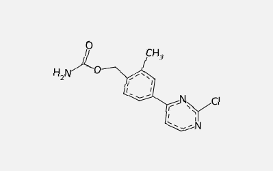 Cc1cc(-c2ccnc(Cl)n2)ccc1COC(N)=O